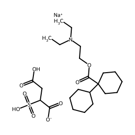 CCN(CC)CCOC(=O)C1(C2CCCCC2)CCCCC1.O=C(O)CC(C(=O)[O-])S(=O)(=O)O.[Na+]